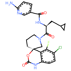 Nc1ccc(C(=O)N[C@@H](CC2CC2)C(=O)N2CCC[C@@]3(C2)OC(=O)Nc2ccc(Cl)c(F)c23)cn1